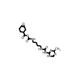 CC1N=CNC(NC(=O)NCCCCNC(=O)OC(=O)C2CCC3OC3C2)=N1